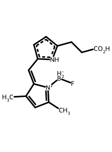 CC1=CC(C)=[N+]([BH2-]F)/C1=C\c1ccc(CCC(=O)O)[nH]1